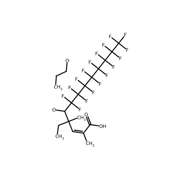 CCC(C)(C=C(C)C(=O)O)C([O])C(F)(F)C(F)(F)C(F)(F)C(F)(F)C(F)(F)C(F)(F)C(F)(F)C(F)(F)F.C[CH]C[O]